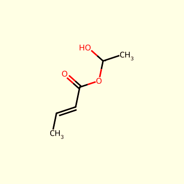 CC=CC(=O)O[C](C)O